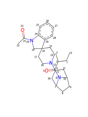 CCC(C)C(=O)N1C2CCC1CC(N1CCC3(CC1)CN(C(C)=O)c1ccccc13)C2